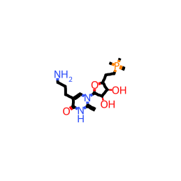 C=C1NC(=O)C(CCCN)=CN1C1OC(CCP(=C)(C)C)[C@@H](O)[C@H]1O